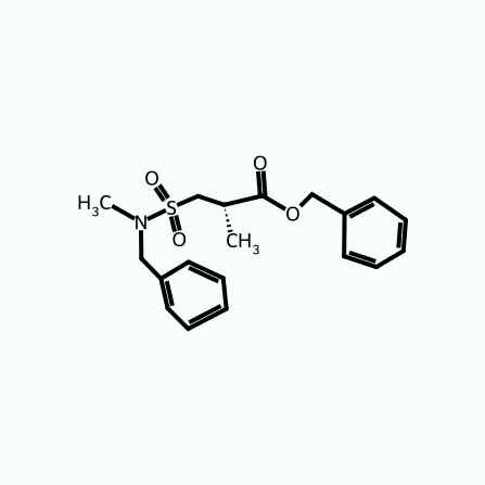 C[C@H](CS(=O)(=O)N(C)Cc1ccccc1)C(=O)OCc1ccccc1